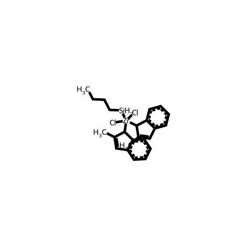 CCCC[SiH2][Zr]([Cl])([Cl])([CH]1C(C)=Cc2ccccc21)[CH]1C(C)=Cc2ccccc21